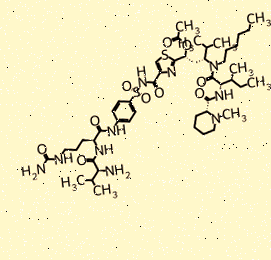 CCCCCCN(C(=O)[C@@H](NC(=O)[C@H]1CCCCN1C)[C@@H](C)CC)[C@H](C[C@@H](OC(C)=O)c1nc(C(=O)NS(=O)(=O)c2ccc(NC(=O)[C@H](CCCNC(N)=O)NC(=O)[C@@H](N)C(C)C)cc2)cs1)C(C)C